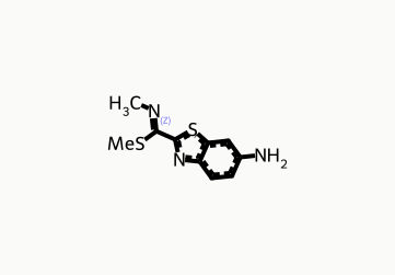 C/N=C(\SC)c1nc2ccc(N)cc2s1